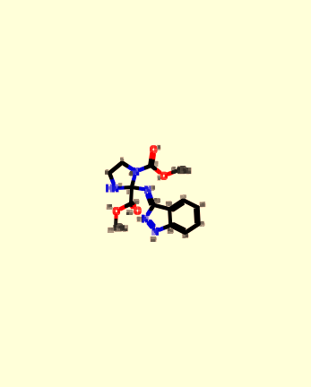 CC(C)(C)OC(=O)N1CCNC1(N=C1N=Nc2ccccc21)C(=O)OC(C)(C)C